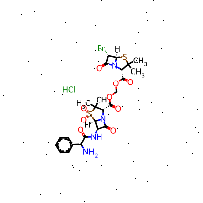 CC1(C)S[C@@H]2[C@@H](Br)C(=O)N2[C@H]1C(=O)OCOC(=O)[C@@H]1N2C(=O)[C@@H](NC(=O)C(N)c3ccccc3)[C@H]2S(=O)(=O)C1(C)C.Cl